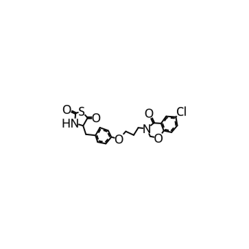 O=C1NC(Cc2ccc(OCCCN3COc4ccc(Cl)cc4C3=O)cc2)C(=O)S1